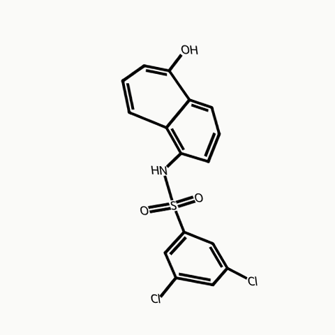 O=S(=O)(Nc1cccc2c(O)cccc12)c1cc(Cl)cc(Cl)c1